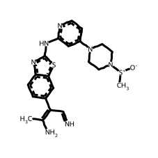 C/C(N)=C(/C=N)c1ccc2nc(Nc3cc(N4CCN([S+](C)[O-])CC4)ccn3)sc2c1